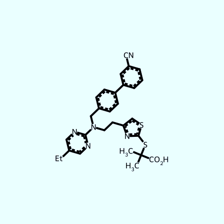 CCc1cnc(N(CCc2csc(SC(C)(C)C(=O)O)n2)Cc2ccc(-c3cccc(C#N)c3)cc2)nc1